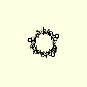 CC[C@H](C)[C@@H]1NC(=O)[C@H](CC(C)C)N(C)C(=O)[C@H](Cc2ccccc2)N(C)C(=O)CCC2=CC=CC2C(C(=O)N2CCCCC2)NC(=O)[C@H](CC(C)C)N(C)C(=O)[C@H](C)N(C)C(=O)[C@H](C(C)O)NC(=O)[C@H](Cc2ccccc2)N(C)C(=O)[C@H](C)N(C)C1=O